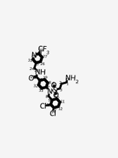 NCCCS(=O)(=O)N(Cc1cccc(Cl)c1Cl)c1ccc(C(=O)NCc2ccc(C(F)(F)F)nc2)cc1